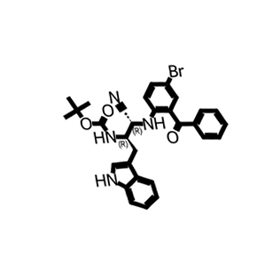 CC(C)(C)OC(=O)N[C@H](Cc1c[nH]c2ccccc12)[C@H](C#N)Nc1ccc(Br)cc1C(=O)c1ccccc1